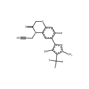 C#CCN1C(=O)COc2cc(F)c(-c3nn(C)c(C(F)(F)F)c3Cl)cc21